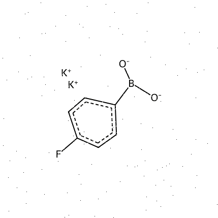 [K+].[K+].[O-]B([O-])c1ccc(F)cc1